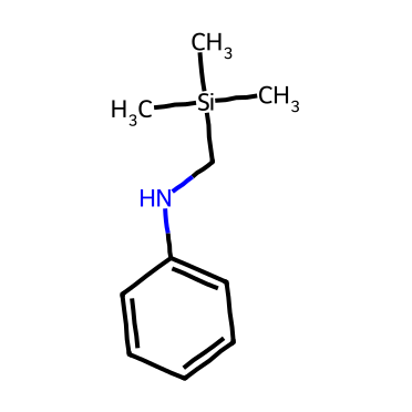 C[Si](C)(C)CNc1ccccc1